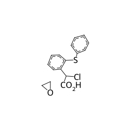 C1CO1.O=C(O)C(Cl)c1ccccc1Sc1ccccc1